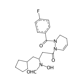 O=CN(O)C(CC(=O)N1C=CCCN1C(=O)c1ccc(F)cc1)CC1CCCC1